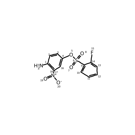 Nc1ccc(OS(=O)(=O)c2ccccc2F)cc1[N+](=O)[O-]